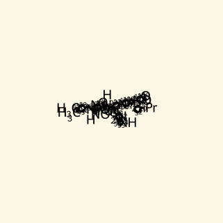 CC(C)c1ccccc1[C@H]1CS(=O)(=O)CCN1C1CC2(CCN(c3ccc(C(=O)NS(=O)(=O)c4cnc(NCC5CCC(C)(C)CC5)c([N+](=O)[O-])c4)c(Oc4cnc5[nH]ccc5c4)c3)CC2)C1